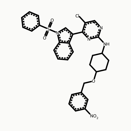 O=[N+]([O-])c1cccc(COC2CCC(Nc3ncc(Cl)c(-c4cn(S(=O)(=O)c5ccccc5)c5ccccc45)n3)CC2)c1